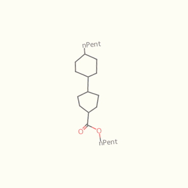 CCCCCOC(=O)C1CCC(C2CCC(CCCCC)CC2)CC1